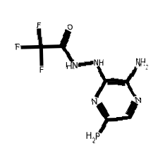 Nc1ncc(P)nc1NNC(=O)C(F)(F)F